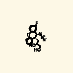 [N-]=[N+]=N[C@@H]1c2cc(F)ccc2Oc2ccccc2[C@H]1C[C@@H](O)CO